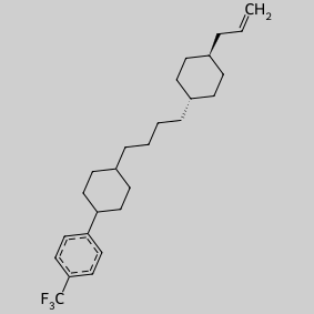 C=CC[C@H]1CC[C@H](CCCCC2CCC(c3ccc(C(F)(F)F)cc3)CC2)CC1